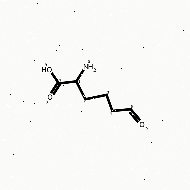 NC(CCCC=O)C(=O)O